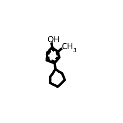 Cc1cc(C2CCCCC2)ccc1O